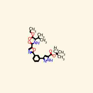 CCOC(=O)[C@@H](NC(=O)c1cnc(-c2cccc(-c3cc(C(=O)OC(C)(C)C)[nH]n3)c2)o1)C(C)C